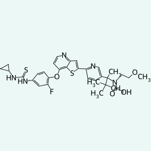 COCCN(C(=O)O)C(C)(c1ccc(-c2cc3nccc(Oc4ccc(NC(=S)NC5CC5)cc4F)c3s2)nc1)C(C)(C)C